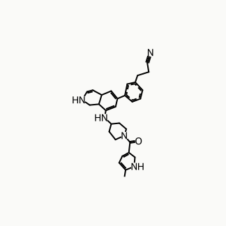 CC1=CC=C(C(=O)N2CCC(NC3=CC(c4cccc(CCC#N)c4)=CC4C=CNCC34)CC2)CN1